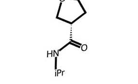 CC(C)NC(=O)[C@H]1CCOC1